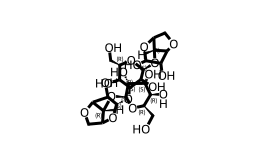 OC[C@H]1O[C@@H](O[C@@H]2C3COC2C(O)C(O)O3)C(O)[C@@H](O[C@@H]2OC3COC(C2O)[C@@H]3O[C@@H]2O[C@H](CO)[C@H](O)[C@H](O)[C@H]2O)C1O